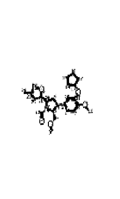 COCC1C(c2ccc(OC)c(OC3CCCC3)c2)CC(C2CC(C)=NO2)N1C=O